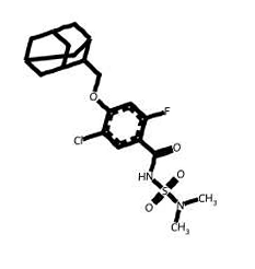 CN(C)S(=O)(=O)NC(=O)c1cc(Cl)c(OCC2C3CC4CC(C3)CC2C4)cc1F